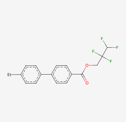 CCc1ccc(-c2ccc(C(=O)OCC(F)(F)C(F)F)cc2)cc1